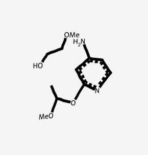 COC(C)Oc1cc(N)ccn1.COCCO